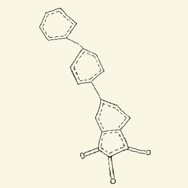 O=c1c(=O)c2ccc(-c3ccc(-c4ccccc4)cc3)cc2c1=O